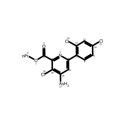 CCCOC(=O)c1nc(-c2ccc(Cl)cc2Cl)cc([AsH2])c1Cl